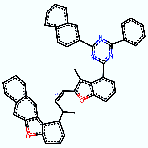 Cc1c(/C=C\C(C)c2cccc3oc4cc5ccccc5cc4c23)oc2cccc(-c3nc(-c4ccccc4)nc(-c4ccc5ccccc5c4)n3)c12